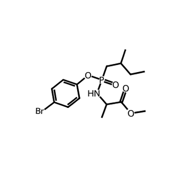 CCC(C)CP(=O)(NC(C)C(=O)OC)Oc1ccc(Br)cc1